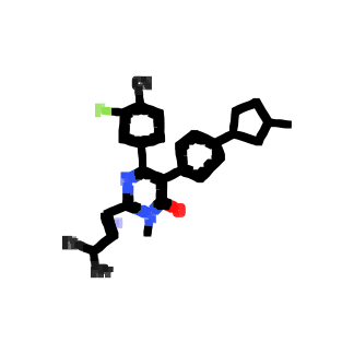 CCCC(/C=C/c1nc(-c2ccc(C#N)c(F)c2)c(-c2ccc(C3CCC(C)C3)cc2)c(=O)n1C)CC